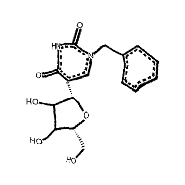 O=c1[nH]c(=O)n(Cc2ccccc2)cc1[C@@H]1O[C@H](CO)C(O)C1O